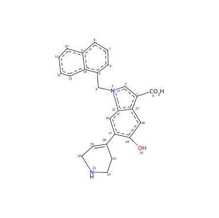 O=C(O)c1cn(Cc2cccc3ccccc23)c2cc(C3=CCNCC3)c(O)cc12